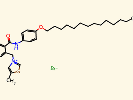 CCCCCCCCCCCCCCOc1ccc(NC(=O)c2ccccc2C[n+]2csc(C)c2)cc1.[Br-]